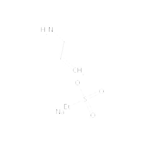 C=CCN.CCS(=O)(=O)[O-].[Na+]